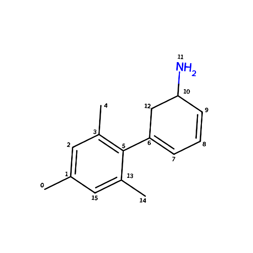 Cc1cc(C)c(C2=CC=CC(N)C2)c(C)c1